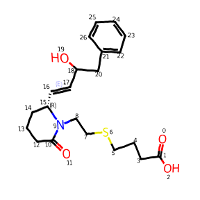 O=C(O)CCCSCCN1C(=O)CCC[C@@H]1/C=C/C(O)Cc1ccccc1